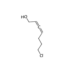 OCC=C=CCCCCl